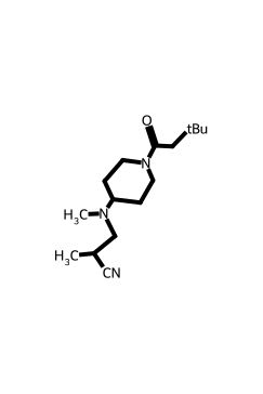 CC(C#N)CN(C)C1CCN(C(=O)CC(C)(C)C)CC1